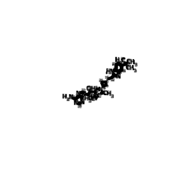 CO[C@H](CN(C(C)C)[C@H]1C[C@@H](CCc2nc3cc(C(C)(C)C)ccc3[nH]2)C1)[C@@H](O)[C@@H](O)n1cnc2c(N)ncnc21